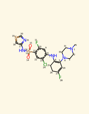 CN1CCN(C2=C(Nc3cc(F)c(S(=O)(=O)Nc4cscn4)cc3Cl)CCC(F)=C2)CC1